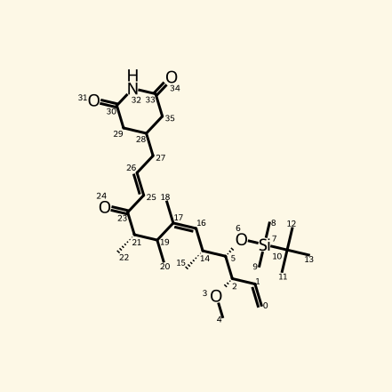 C=C[C@H](OC)[C@@H](O[Si](C)(C)C(C)(C)C)[C@H](C)/C=C(/C)C(C)[C@H](C)C(=O)/C=C/CC1CC(=O)NC(=O)C1